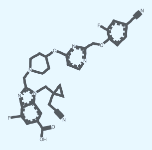 N#CCC1(Cn2c(CN3CCC(Oc4ccnc(COc5ccc(C#N)cc5F)n4)CC3)nc3c(F)cc(C(=O)O)cc32)CC1